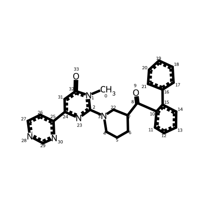 Cn1c(N2CCCC(C(=O)c3ccccc3-c3ccccc3)C2)nc(-c2ccncn2)cc1=O